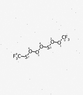 FC(F)(F)OOSOOOSC(F)(F)F